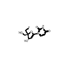 O=c1ccn(C2=C[C@H](O)[C@](CO)(CF)O2)c(=O)[nH]1